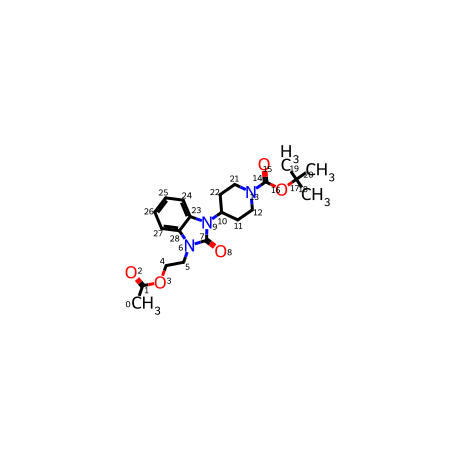 CC(=O)OCCn1c(=O)n(C2CCN(C(=O)OC(C)(C)C)CC2)c2ccccc21